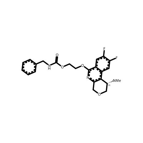 CN[C@@H]1COCc2nc(OCCOC(=O)NCc3ccccc3)c3cc(F)c(F)cc3c21